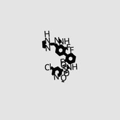 COc1ncc(Cl)cc1S(=O)(=O)Nc1ccc(F)c(-c2ccc3c(-c4ncc[nH]4)n[nH]c3c2F)c1F